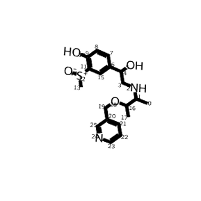 CC(NCC(O)c1ccc(O)c([S+](C)[O-])c1)C(C)OCc1cccnc1